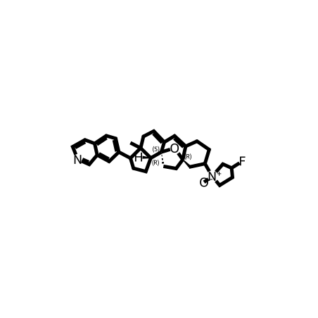 CC12CC=C3C=C4CCC([N+]5([O-])CCC(F)C5)C[C@]45CC[C@]3(O5)[C@@H]1CCC2c1ccc2ccncc2c1